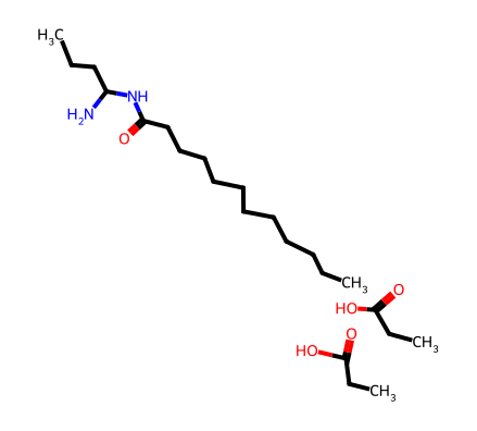 CCC(=O)O.CCC(=O)O.CCCCCCCCCCCC(=O)NC(N)CCC